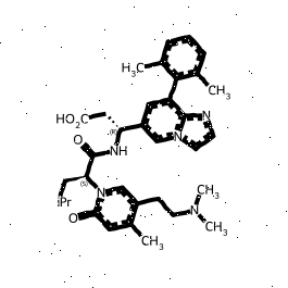 Cc1cc(=O)n([C@@H](CC(C)C)C(=O)N[C@H](CC(=O)O)c2cc(-c3c(C)cccc3C)c3nccn3c2)cc1CCN(C)C